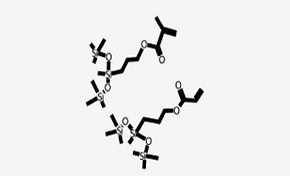 C=C(C)C(=O)OCCC[Si](C)(O[Si](C)(C)C)O[Si](C)(C)C.C=CC(=O)OCCC[Si](C)(O[Si](C)(C)C)O[Si](C)(C)C